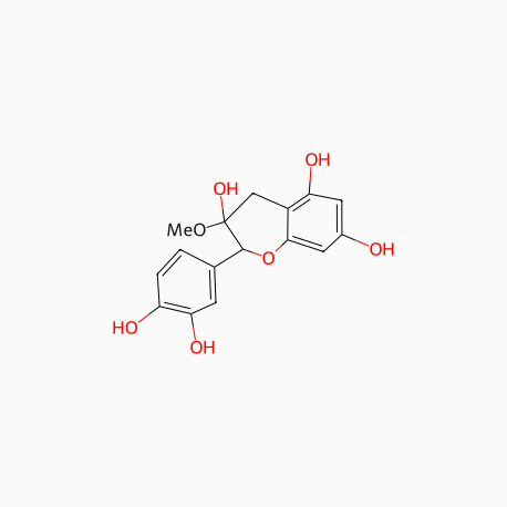 COC1(O)Cc2c(O)cc(O)cc2OC1c1ccc(O)c(O)c1